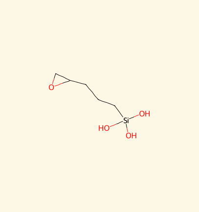 O[Si](O)(O)CCCC1CO1